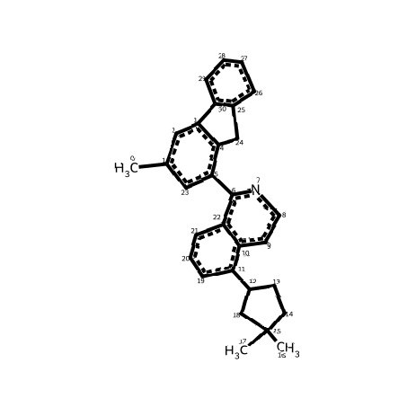 Cc1cc2c(c(-c3nccc4c(C5CCC(C)(C)C5)cccc34)c1)Cc1ccccc1-2